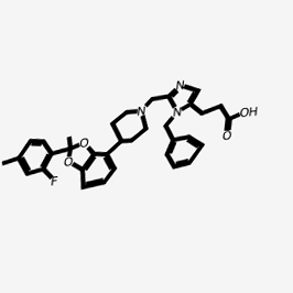 Cc1ccc(C2(C)Oc3cccc(C4CCN(Cc5ncc(CCC(=O)O)n5Cc5ccccc5)CC4)c3O2)c(F)c1